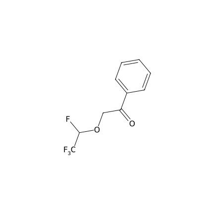 O=C(COC(F)C(F)(F)F)c1ccccc1